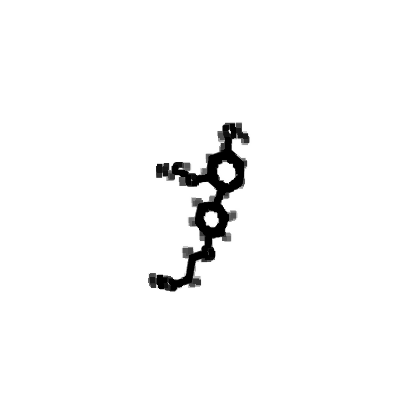 COc1cc(C)ccc1-c1ccc(OCCO)cc1